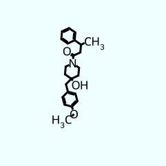 COc1ccc(CC2(O)CCN(C(=O)CC(C)c3ccccc3)CC2)cc1